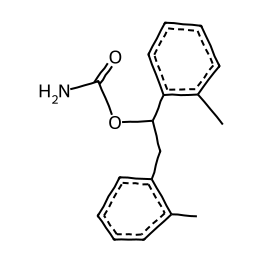 Cc1ccccc1CC(OC(N)=O)c1ccccc1C